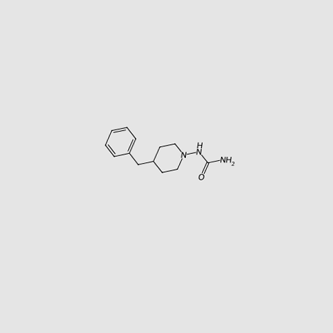 NC(=O)NN1CCC(Cc2ccccc2)CC1